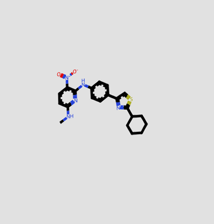 CNc1ccc([N+](=O)[O-])c(Nc2ccc(-c3csc(C4CCCCC4)n3)cc2)n1